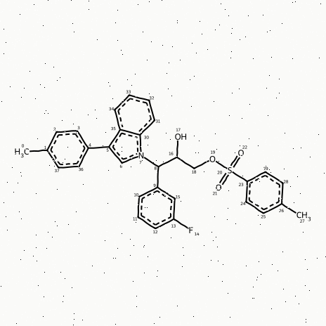 Cc1ccc(-c2cn(C(c3cccc(F)c3)C(O)COS(=O)(=O)c3ccc(C)cc3)c3ccccc23)cc1